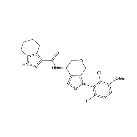 COc1ccc(F)c(-n2ncc3c2COC[C@@H]3NC(=O)c2n[nH]c3c2CCCC3)c1Cl